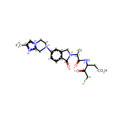 CC[C@@H](C(=O)NC(CC(=O)O)C(=O)CF)N1Cc2cc(N3CCn4cc(C(F)(F)F)nc4C3)ccc2C1=O